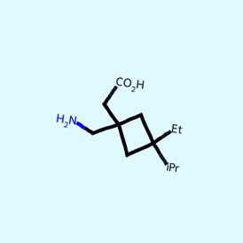 CCC1(C(C)C)CC(CN)(CC(=O)O)C1